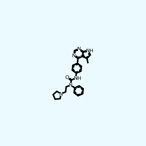 Cc1c[nH]c2ncnc(-c3ccc(NC(=O)N(CCN4CCCC4)c4ccccc4)cc3)c12